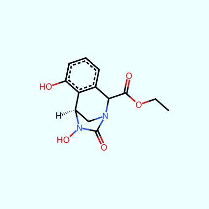 CCOC(=O)C1c2cccc(O)c2[C@H]2CN1C(=O)N2O